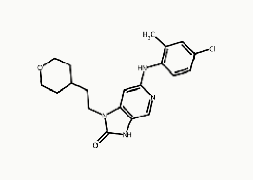 Cc1cc(Cl)ccc1Nc1cc2c(cn1)[nH]c(=O)n2CCC1CCOCC1